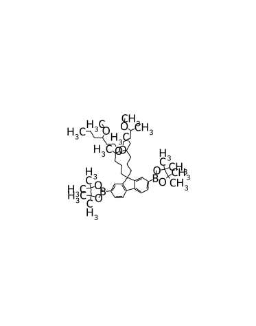 CCCC(CCOC(CC)CCCC1(CCCC(C)OCCC(C)OC)c2cc(B3OC(C)(C)C(C)(C)O3)ccc2-c2ccc(B3OC(C)(C)C(C)(C)O3)cc21)OC